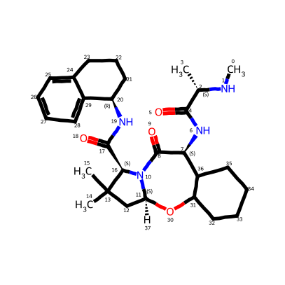 CN[C@@H](C)C(=O)N[C@@H]1C(=O)N2[C@H](CC(C)(C)[C@H]2C(=O)N[C@@H]2CCCc3ccccc32)OC2CCCCC21